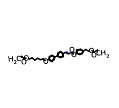 C=CC(=O)OCCCCCCOc1ccc(-c2ccc(/C=C/C(=O)Oc3ccc(CCOC(=O)C=C)cc3)cc2)cc1